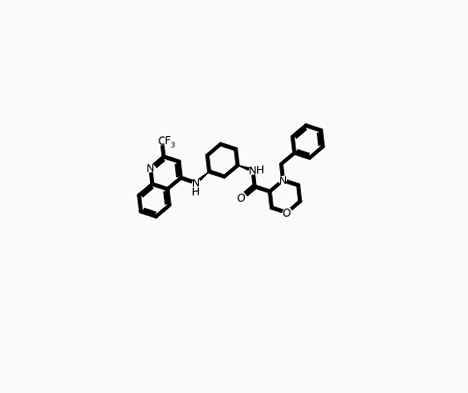 O=C(N[C@@H]1CCC[C@H](Nc2cc(C(F)(F)F)nc3ccccc23)C1)C1COCCN1Cc1ccccc1